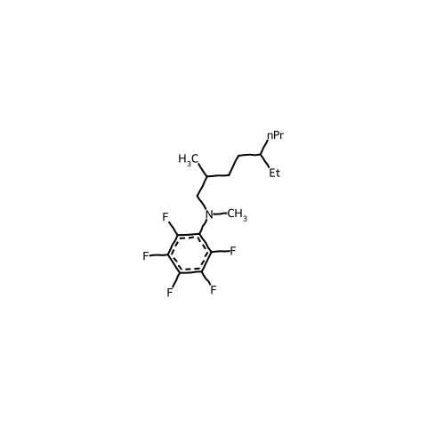 CCCC(CC)CCC(C)CN(C)c1c(F)c(F)c(F)c(F)c1F